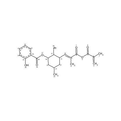 C=C(C)C(=O)OC(=O)/C(C)=C/C1CC(C)CC(OC(=O)c2ccccc2O)C1C(C)C